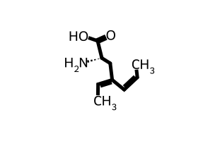 C/C=C\C(=C/C)C[C@H](N)C(=O)O